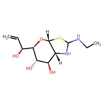 C=C[C@H](O)[C@H]1O[C@@H]2SC(NCC)N[C@@H]2[C@@H](O)[C@@H]1O